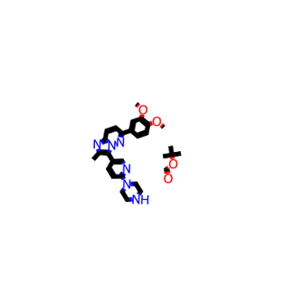 CC(C)(C)OC=O.COc1ccc(-c2ccc3nc(C)c(-c4ccc(N5CCNCC5)nc4)n3n2)cc1OC